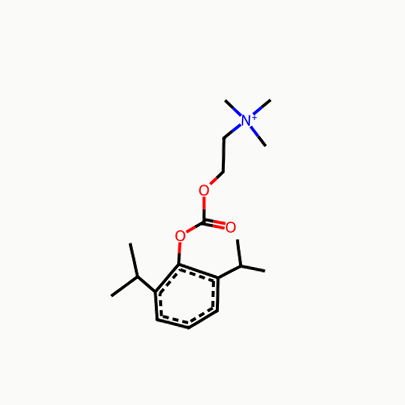 CC(C)c1cccc(C(C)C)c1OC(=O)OCC[N+](C)(C)C